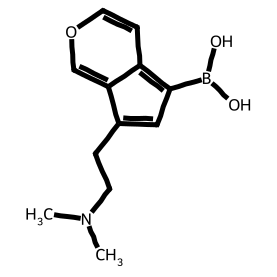 CN(C)CCc1cc(B(O)O)c2ccocc1-2